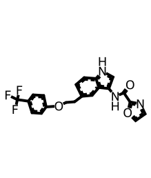 O=C(Nc1c[nH]c2ccc(CCOc3ccc(C(F)(F)F)cc3)cc12)c1ncco1